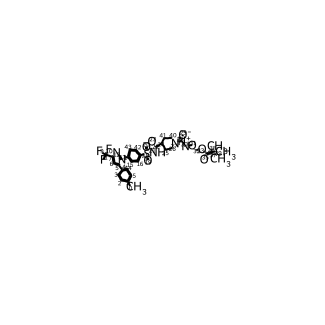 Cc1ccc(-c2cc(C(F)(F)F)nn2-c2ccc(S(=O)(=O)NC(=O)C3CCN([N+]([O-])=NOCOC(=O)C(C)(C)C)CC3)cc2)cc1